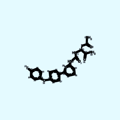 NC(=O)C[C@@H](NC(=O)Nc1cccc(-c2ccc(Oc3ccc(F)cc3)cc2)n1)C(N)=O